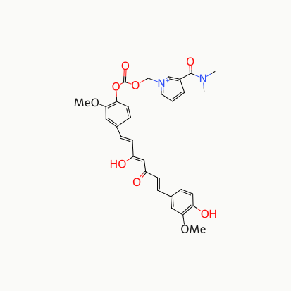 COc1cc(C=CC(=O)C=C(O)C=Cc2ccc(OC(=O)OC[n+]3cccc(C(=O)N(C)C)c3)c(OC)c2)ccc1O